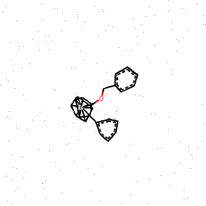 c1ccc(CO[C]23[CH]4[CH]5[CH]6[C]2(c2ccccc2)[Fe]54632789[CH]3[CH]2[CH]7[CH]8[CH]39)cc1